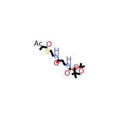 CC(=O)C(C)C(=O)SCCNC(=O)CCNC(=O)[C@@H]1OC(C)(C)OCC1(C)C